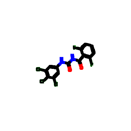 O=C(NC(=O)c1c(F)cccc1F)Nc1cc(Cl)c(Cl)c(Cl)c1